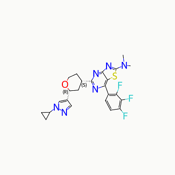 CN(C)c1nc2nc([C@H]3CCO[C@@H](c4cnn(C5CC5)c4)C3)nc(-c3ccc(F)c(F)c3F)c2s1